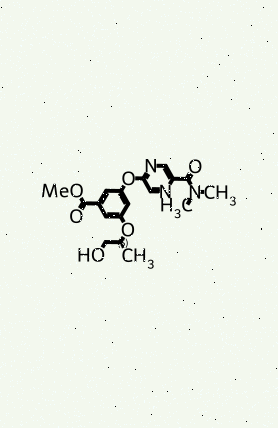 COC(=O)c1cc(Oc2cnc(C(=O)N(C)C)cn2)cc(O[C@@H](C)CO)c1